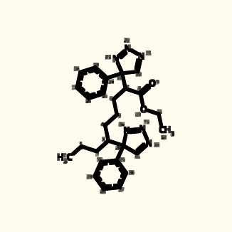 C[CH]CC(CCCC(C(=O)OCC)C1(c2ccccc2)C=NN=N1)C1(c2ccccc2)C=NN=N1